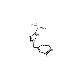 COC(C(=O)O)c1ccn(Cc2ccccc2)n1